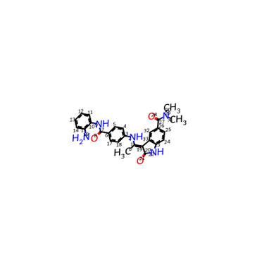 C/C(Nc1ccc(C(=O)Nc2ccccc2N)cc1)=C1\C(=O)Nc2ccc(C(=O)N(C)C)cc21